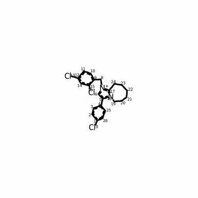 Clc1ccc(-c2c[n+](Cc3ccc(Cl)cc3Cl)c3n2CCCCCC3)cc1